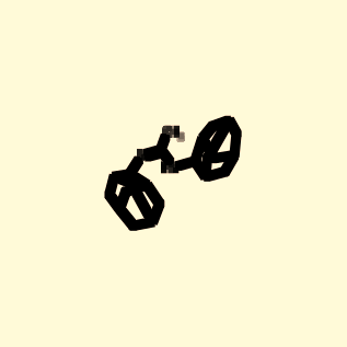 CC(=NC1C2CC3CC(C2)CC1C3)NC1C2CC3CC(C2)CC1C3